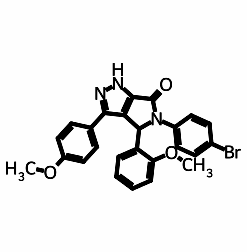 COc1ccc(-c2n[nH]c3c2C(c2ccccc2OC)N(c2ccc(Br)cc2)C3=O)cc1